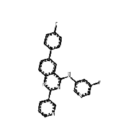 Fc1ccc(-c2ccc3nc(-c4cccnc4)nc(Nc4cncc(F)c4)c3c2)cc1